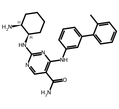 Cc1ccccc1-c1cccc(Nc2nc(N[C@@H]3CCCC[C@@H]3N)ncc2C(N)=O)c1